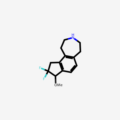 COC1c2ccc3c(c2CC1(F)F)CCNCC3